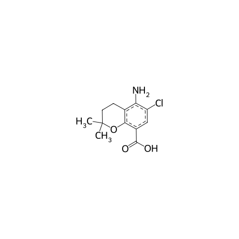 CC1(C)CCc2c(N)c(Cl)cc(C(=O)O)c2O1